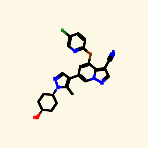 Cc1c(-c2cc(Sc3ccc(F)cn3)c3c(C#N)cnn3c2)cnn1[C@H]1CC[C@@H](O)CC1